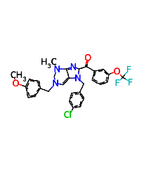 COc1ccc(CN2C=C3C(=NC(C(=O)c4cccc(OC(F)(F)F)c4)N3Cc3ccc(Cl)cc3)N(C)C2)cc1